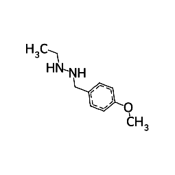 CCNNCc1ccc(OC)cc1